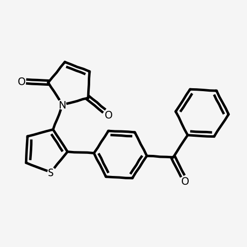 O=C(c1ccccc1)c1ccc(-c2sccc2N2C(=O)C=CC2=O)cc1